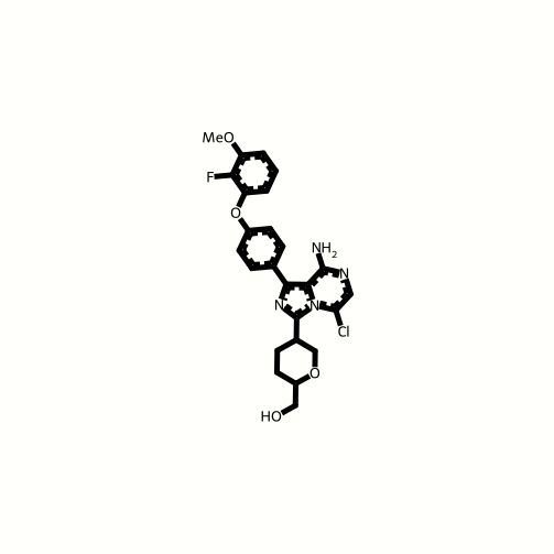 COc1cccc(Oc2ccc(-c3nc(C4CCC(CO)OC4)n4c(Cl)cnc(N)c34)cc2)c1F